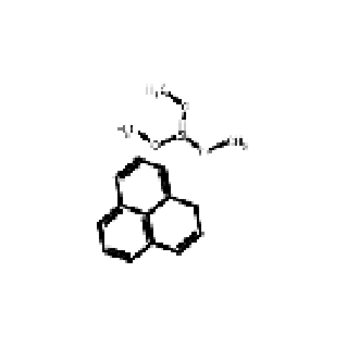 C1=Cc2cccc3cccc(c23)C1.CO[SiH](OC)OC